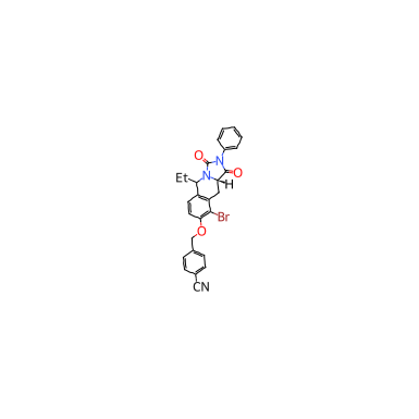 CCC1c2ccc(OCc3ccc(C#N)cc3)c(Br)c2C[C@H]2C(=O)N(c3ccccc3)C(=O)N12